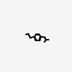 [CH2]CCc1ccc(CC(C)C)cc1